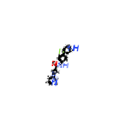 O=C(Nc1ccc(C2(F)CCNCC2)cc1)C1CN(c2cccnn2)C1